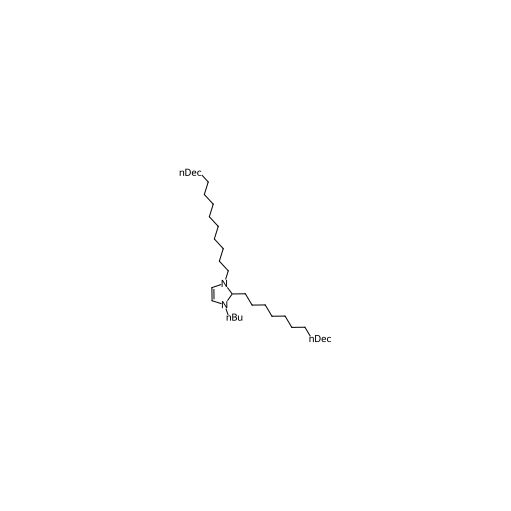 CCCCCCCCCCCCCCCCCCCN1C=CN(CCCC)C1CCCCCCCCCCCCCCCCC